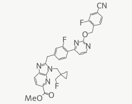 COC(=O)c1ccc2nc(Cc3ccc(-c4ccnc(OCc5ccc(C#N)cc5F)n4)c(F)c3)n(CC3(CF)CC3)c2n1